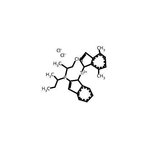 CCC(C)P(C1=Cc2ccccc2[CH]1[Ti+2][CH]1C=Cc2c(C)ccc(C)c21)C(C)CC.[Cl-].[Cl-]